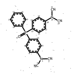 N#CN(C#N)c1ccc(P(=O)(c2ccccc2)c2ccc(N(C#N)C#N)cc2)cc1